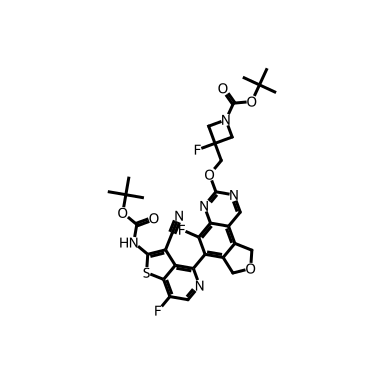 CC(C)(C)OC(=O)Nc1sc2c(F)cnc(-c3c4c(c5cnc(OCC6(F)CN(C(=O)OC(C)(C)C)C6)nc5c3F)COC4)c2c1C#N